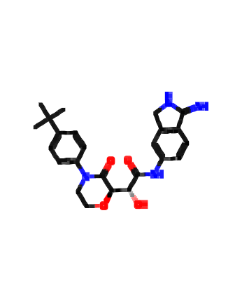 CC(C)(C)c1ccc(N2CCO[C@H]([C@@H](O)C(=O)Nc3ccc4c(c3)CNC4=N)C2=O)cc1